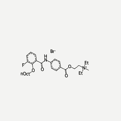 CCCCCCCCOc1c(F)cccc1C(=O)Nc1ccc(C(=O)OCC[N+](C)(CC)CC)cc1.[Br-]